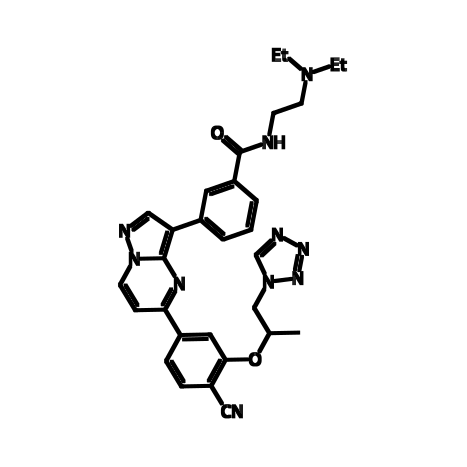 CCN(CC)CCNC(=O)c1cccc(-c2cnn3ccc(-c4ccc(C#N)c(OC(C)Cn5cnnn5)c4)nc23)c1